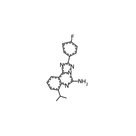 CC(C)c1cccc2c1nc(N)n1nc(-c3ccc(F)cc3)nc21